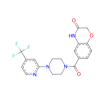 O=C1COc2ccc(C(=O)N3CCN(c4cc(C(F)(F)F)ccn4)CC3)cc2N1